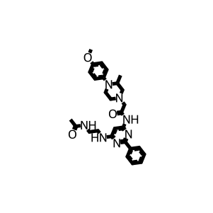 COc1ccc(N2CCN(CC(=O)Nc3cc(NCCNC(C)=O)nc(-c4ccccc4)n3)CC2C)cc1